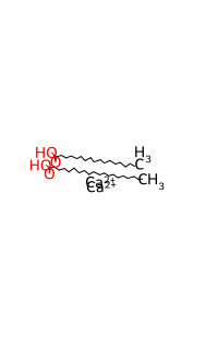 CCCCCCCCCCCCCCCCCC(=O)O.CCCCCCCCCCCCCCCCCCCC(=O)O.[Ca+2].[Ca+2]